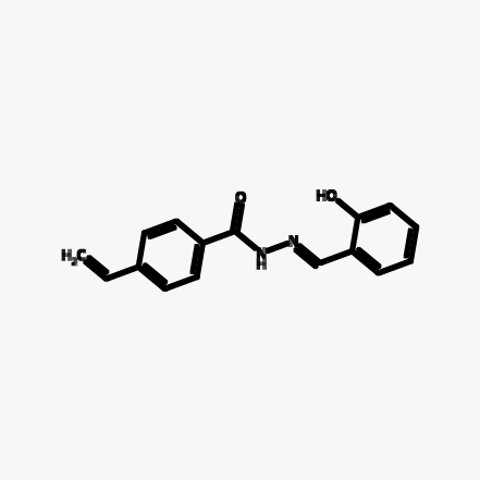 C=Cc1ccc(C(=O)NN=Cc2ccccc2O)cc1